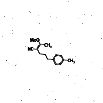 COC(C)=C(C#N)CCCc1ccc(C)cc1